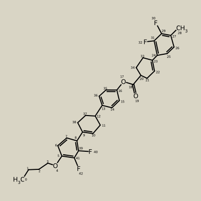 CCCCOc1ccc(C2=CCC(c3ccc(OC(=O)C4CC=C(c5ccc(C)c(F)c5F)CC4)cc3)CC2)c(F)c1F